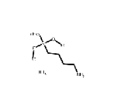 CCCCCC[Si](CCCCN)(OCC)OCC.N